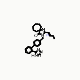 CC/C=C/C1=NC2(CCCCCC2)C(=O)N1Cc1ccc(-c2ccccc2-c2nnn[nH]2)cc1